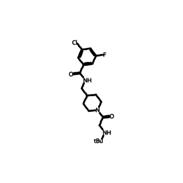 CC(C)(C)NCC(=O)N1CCC(CNC(=O)c2cc(F)cc(Cl)c2)CC1